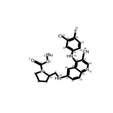 CC(C)(C)OC(=O)N1CCCC1CNc1ccc2ncc(C#N)c(Nc3ccc(F)c(Cl)c3)c2c1